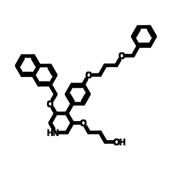 OCCCOC1CNCC(OCc2ccc3ccccc3c2)C1c1ccc(OCCCOCc2ccccc2)cc1